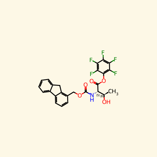 C[C@@H](O)[C@H](NC(=O)OCc1cccc2c1Cc1ccccc1-2)C(=O)Oc1c(F)c(F)c(F)c(F)c1F